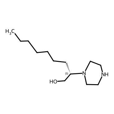 CCCCCCC[C@@H](CO)N1CCNCC1